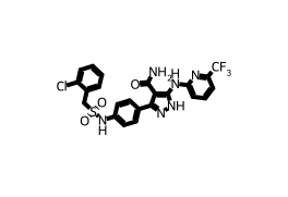 NC(=O)c1c(-c2ccc(NS(=O)(=O)Cc3ccccc3Cl)cc2)n[nH]c1Nc1cccc(C(F)(F)F)n1